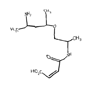 CC(N)CC(C)OCC(C)NC(=O)/C=C\C(=O)O